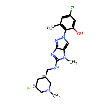 Cc1cc(Cl)cc(O)c1-n1cc2c(nc(NC[C@@H]3C[C@@H](F)CN(C)C3)n2C)n1